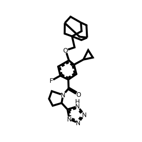 O=C(c1cc(C2CC2)c(OCC23CC4CC(CC(C4)C2)C3)cc1F)N1CCCC1c1nnn[nH]1